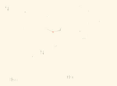 CC(C)(C)c1ccc2c(c1)c1cc(C(C)(C)C)cc3c1n2-c1cc(-c2ccc(C#N)cc2)cc2c1B3c1cc(-c3ccccc3-c3ccccc3)cc(-c3ccccc3-c3ccccc3)c1O2